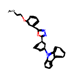 CC(=O)OCCOc1cccc(-c2nnc(-c3cccc(-n4c5ccccc5c5ccccc54)c3)o2)c1